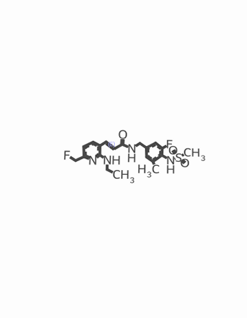 CCNc1nc(CF)ccc1/C=C/C(=O)NCc1cc(C)c(NS(C)(=O)=O)c(F)c1